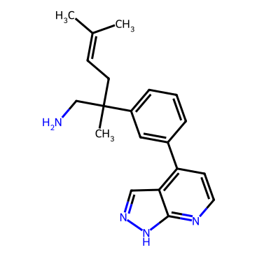 CC(C)=CCC(C)(CN)c1cccc(-c2ccnc3[nH]ncc23)c1